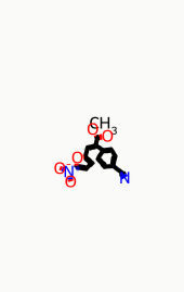 COC(=O)/C(=C/c1ccc([N+](=O)[O-])o1)c1ccc(C#N)cc1